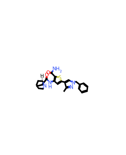 Cc1nn(Cc2ccccc2)cc1-c1cc(NC(=O)[C@@H]2CC3CCN2CC3)c(C(N)=O)s1